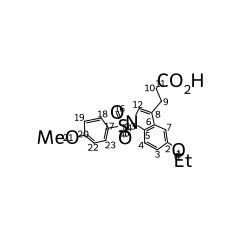 CCOc1ccc2c(c1)c(CCC(=O)O)cn2S(=O)(=O)c1ccc(OC)cc1